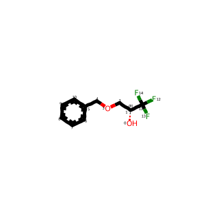 O[C@H](COCc1ccccc1)C(F)(F)F